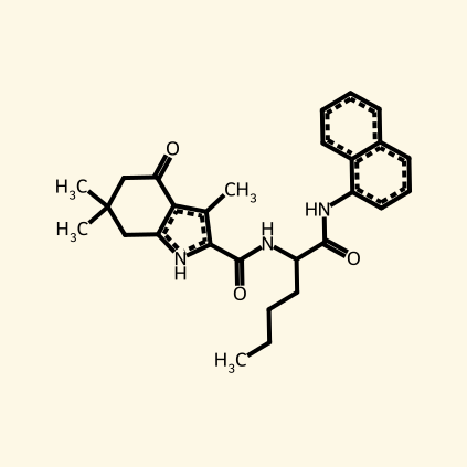 CCCCC(NC(=O)c1[nH]c2c(c1C)C(=O)CC(C)(C)C2)C(=O)Nc1cccc2ccccc12